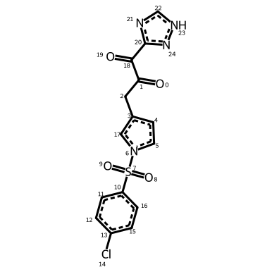 O=C(Cc1ccn(S(=O)(=O)c2ccc(Cl)cc2)c1)C(=O)c1nc[nH]n1